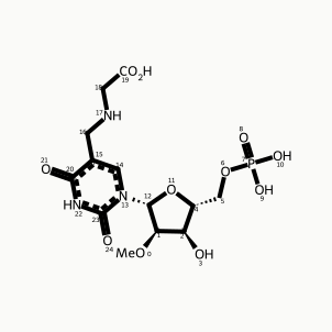 CO[C@@H]1[C@H](O)[C@@H](COP(=O)(O)O)O[C@H]1n1cc(CNCC(=O)O)c(=O)[nH]c1=O